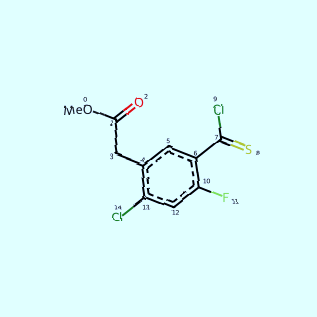 COC(=O)Cc1cc(C(=S)Cl)c(F)cc1Cl